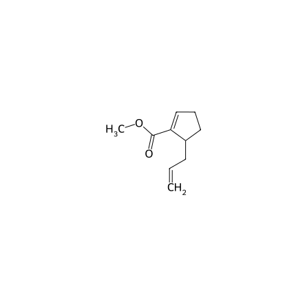 C=CCC1CCC=C1C(=O)OC